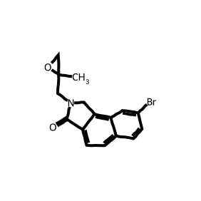 CC1(CN2Cc3c(ccc4ccc(Br)cc34)C2=O)CO1